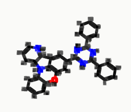 c1ccc(-c2nc(-c3ccccc3)nc(-c3cc4c5c(c3)c3ncccc3n5-c3ccccc3O4)n2)cc1